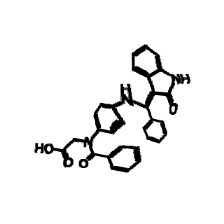 O=C(O)CN(C(=O)c1ccccc1)c1ccc(NC(=C2C(=O)Nc3ccccc32)c2ccccc2)cc1